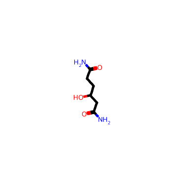 NC(=O)CCC(O)CC(N)=O